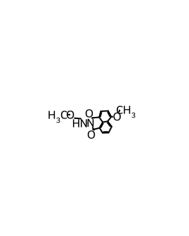 COCCNN1C(=O)c2cccc3c(OC)ccc(c23)C1=O